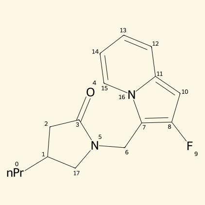 CCCC1CC(=O)N(Cc2c(F)cc3ccccn23)C1